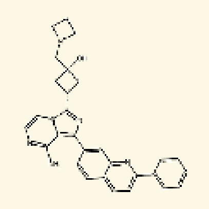 Nc1nccn2c1c(-c1ccc3ccc(-c4ccccc4)nc3c1)nc2[C@H]1C[C@](O)(CN2CCC2)C1